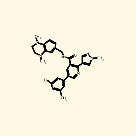 Cc1cc(Cl)cc(-c2cnc(-c3cnn(C)c3)c(C(=O)NCc3ccc4c(c3)N(C)CCN4C)c2)c1